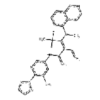 C=C/C(C(=C)Nc1cnc(-n2nccn2)c(C)c1)=C(\N(C)c1cccc2cnccc12)C(C)(F)F